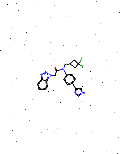 O=C(Cn1nnc2ccccc21)N(CC1CC(F)(F)C1)c1ccc(-c2c[nH]cn2)cc1